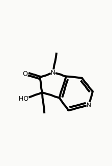 CN1C(=O)C(C)(O)c2cnccc21